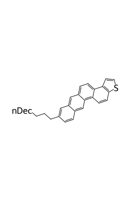 CCCCCCCCCCCCCc1ccc2cc3c(ccc4c5ccsc5ccc34)cc2c1